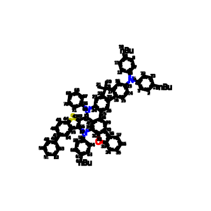 CCCCc1ccc(N(c2ccc(CCCC)cc2)c2ccc3c(c2)C(C)(C)c2cc4c(cc2-3)-c2cc3c(oc5ccccc53)c3c2B(c2sc5ccc(-c6ccccc6)cc5c2N3c2ccc(CCCC)cc2)N4c2ccccc2)cc1